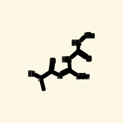 CCN(C)C(=O)N=C(NC(=O)NC(C)(C)C)SC